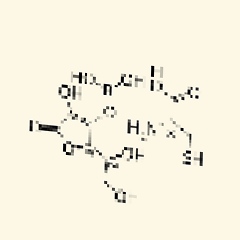 N[C@@H](CS)C(=O)O.O=C1O[C@H]([C@@H](O)CO)C(OB(O)O)=C1O